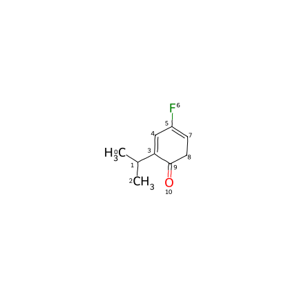 CC(C)C1=CC(F)=CCC1=O